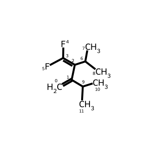 C=C(C(=C(F)F)C(C)C)C(C)C